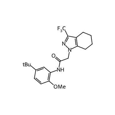 COc1ccc(C(C)(C)C)cc1NC(=O)Cn1nc(C(F)(F)F)c2c1CCCC2